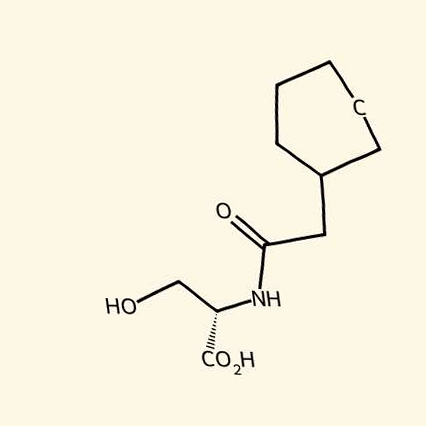 O=C(CC1CCCCC1)N[C@@H](CO)C(=O)O